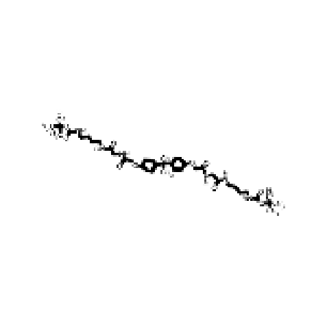 CC(C)(C)OC(=O)NCCCCNC(=O)CNC(=O)COc1ccc(C(C)(C)c2ccc(OCC(=O)NCC(=O)NCCCCNC(=O)OC(C)(C)C)cc2)cc1